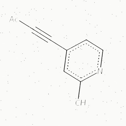 CC(=O)C#Cc1ccnc(C)c1